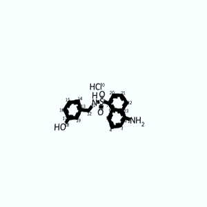 Cl.Nc1cccc2c(S(=O)(=O)NCc3cccc(O)c3)cccc12